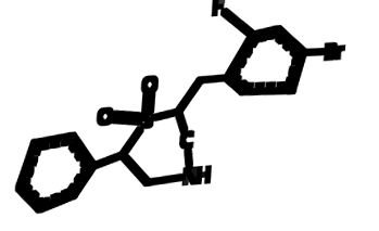 O=S1(=O)C(Cc2ccc(Br)cc2F)CNCC1c1ccccc1